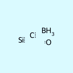 B.[C].[O].[Si]